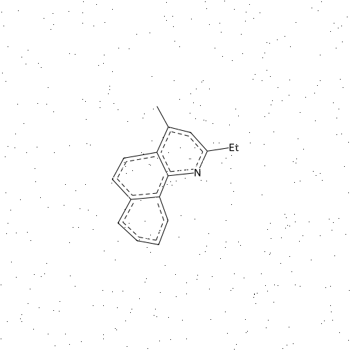 CCc1cc(C)c2ccc3ccccc3c2n1